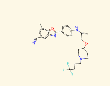 C=C(COC1CCN(CCCC(F)(F)F)CC1)Nc1ccc(-c2nc3cc(C#N)cc(C)c3o2)cc1